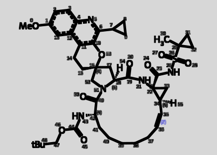 COc1ccc2nc(C3CC3)c3c(c2c1)CC[C@]1(C[C@H]2C(=O)N[C@]4(C(=O)NS(=O)(=O)C5(C)CC5)C[C@H]4/C=C\CCCCC[C@H](NC(=O)OCC(C)(C)C)C(=O)N2C1)O3